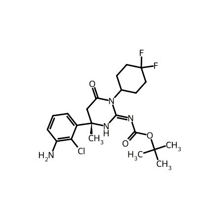 CC(C)(C)OC(=O)/N=C1\N[C@](C)(c2cccc(N)c2Cl)CC(=O)N1C1CCC(F)(F)CC1